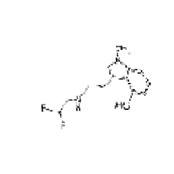 Cn1cc(CCNCC(F)F)c2c(O)cccc21